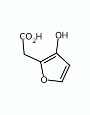 O=C(O)Cc1occc1O